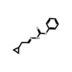 O=C(NN=CCC1CC1)Oc1ccccc1